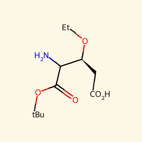 CCO[C@@H](CC(=O)O)C(N)C(=O)OC(C)(C)C